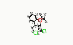 CCC(C[SiH](Cl)Cl)c1ccccc1O[Si](C)(C)C